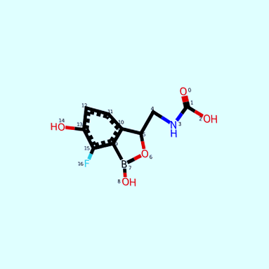 O=C(O)NCC1OB(O)c2c1ccc(O)c2F